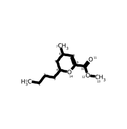 CCCCC1CC(C)C=C(C(=O)OC)O1